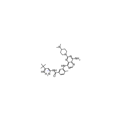 Cc1ccc(C(=O)N/C(N)=C/C(=N)C(C)(C)C)cc1Nc1ncnc2c(N)nc(N3CCC(N(C)C)CC3)nc12